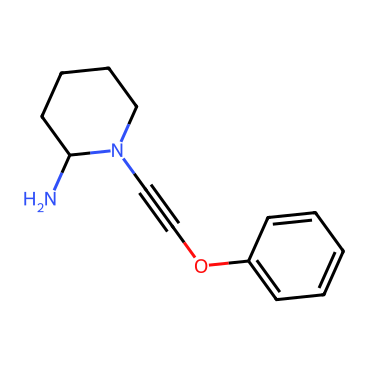 NC1CCCCN1C#COc1ccccc1